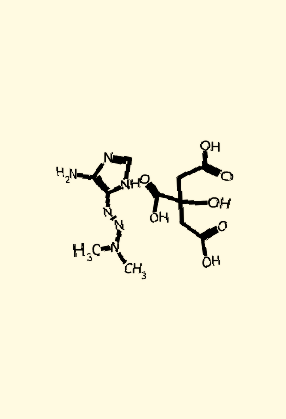 CN(C)N=Nc1[nH]cnc1N.O=C(O)CC(O)(CC(=O)O)C(=O)O